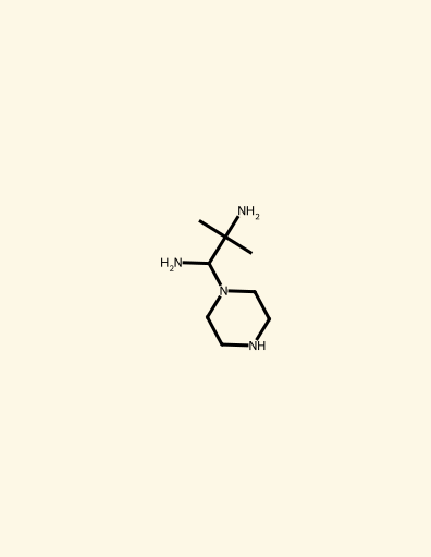 CC(C)(N)C(N)N1CCNCC1